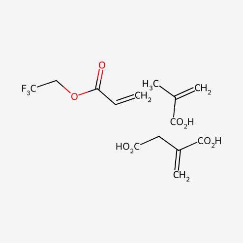 C=C(C)C(=O)O.C=C(CC(=O)O)C(=O)O.C=CC(=O)OCC(F)(F)F